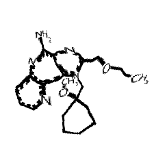 CCOCc1nc2c(N)nc3cccnc3c2n1CC1(OC)CCCCC1